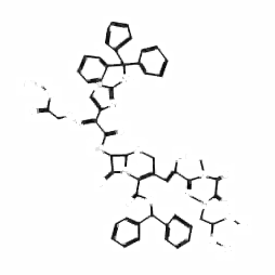 CCCCOC(=O)CON=C(C(=O)NC1C(=O)N2C(C(=O)OC(c3ccccc3)c3ccccc3)=C(C=C(S)c3nn(CC(OCC)OCC)c(=O)c(=O)n3C)CSC12)c1csc(NC(c2ccccc2)(c2ccccc2)c2ccccc2)n1